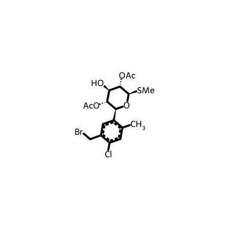 CS[C@H]1O[C@@H](c2cc(CBr)c(Cl)cc2C)[C@H](OC(C)=O)[C@@H](O)[C@@H]1OC(C)=O